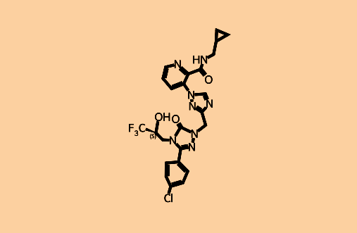 O=C(NCC1CC1)c1ncccc1-n1cnc(Cn2nc(-c3ccc(Cl)cc3)n(C[C@H](O)C(F)(F)F)c2=O)n1